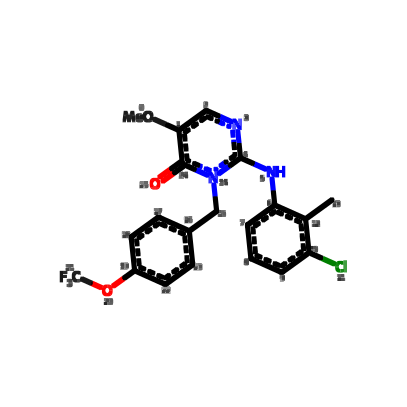 COc1cnc(Nc2cccc(Cl)c2C)n(Cc2ccc(OC(F)(F)F)cc2)c1=O